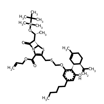 C=CCOC(=O)C1=C(CSCOc2cc(CCCCC)cc(O)c2[C@@H]2C=C(C)CC[C@H]2C(=C)C)SC2[C@@H]([C@@H](C)O[Si](C)(C)C(C)(C)C)C(=O)N12